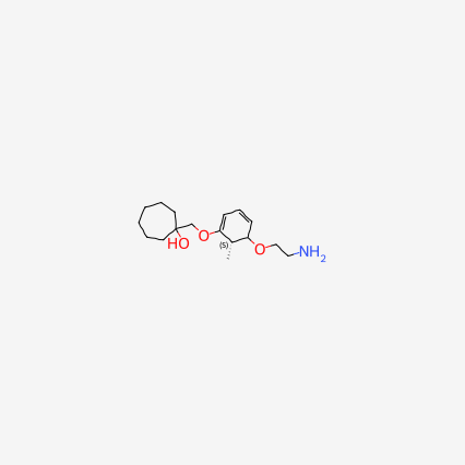 C[C@@H]1C(OCC2(O)CCCCCC2)=CC=CC1OCCN